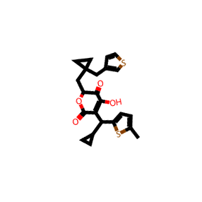 Cc1ccc(C(C2=C(O)C(=O)C(CC3(Cc4ccsc4)CC3)OC2=O)C2CC2)s1